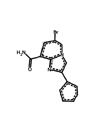 NC(=O)c1[c]c(Br)cn2cc(-c3ccccc3)nc12